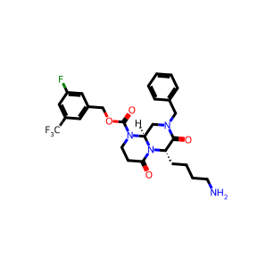 NCCCC[C@H]1C(=O)N(Cc2ccccc2)C[C@@H]2N(C(=O)OCc3cc(F)cc(C(F)(F)F)c3)CCC(=O)N21